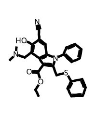 CCOC(=O)c1c(CSc2ccccc2)n(-c2ccccc2)c2cc(C#N)c(O)c(CN(C)C)c12